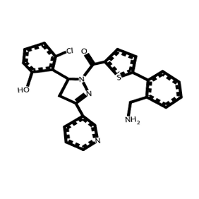 NCc1ccccc1-c1ccc(C(=O)N2N=C(c3cccnc3)CC2c2c(O)cccc2Cl)s1